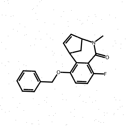 CN1C(=O)c2c(F)ccc(OCc3ccccc3)c2C2C=CC1C2